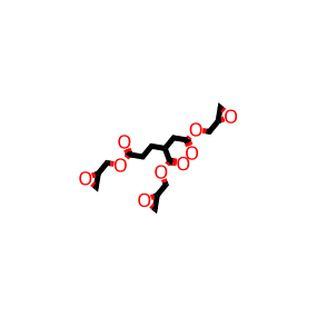 O=C(CCC(CC(=O)OCC1CO1)C(=O)OCC1CO1)OCC1CO1